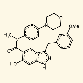 COc1cccc(Cc2n[nH]c3cc(O)c(C(=O)N(C)c4ccc(N5CCOCC5)cc4)cc23)c1